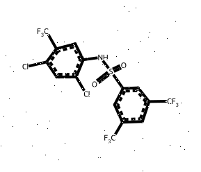 O=S(=O)(Nc1cc(C(F)(F)F)c(Cl)cc1Cl)c1cc(C(F)(F)F)cc(C(F)(F)F)c1